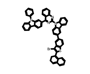 Brc1c(C2=c3ccccc3=CCC2)sc2ccc(-c3ccc4c(c3)c3ccccc3n4-c3nc(-c4ccc5c6ccccc6n(-c6ccccc6)c5c4)c4ccccc4n3)cc12